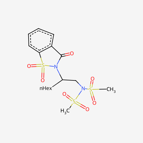 CCCCCCC(CN(S(C)(=O)=O)S(C)(=O)=O)N1C(=O)c2ccccc2S1(=O)=O